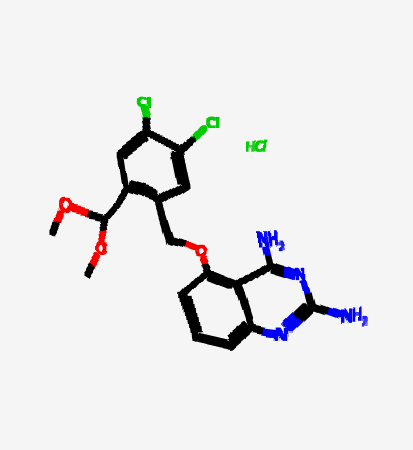 COC(OC)c1cc(Cl)c(Cl)cc1COc1cccc2nc(N)nc(N)c12.Cl